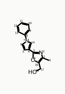 Cc1nc(-c2ccn(-c3ccccc3)c2)oc1CO